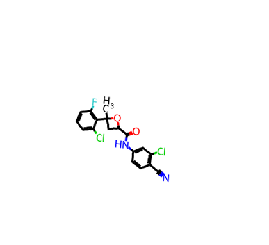 CC1(c2c(F)cccc2Cl)CC(C(=O)Nc2ccc(C#N)c(Cl)c2)O1